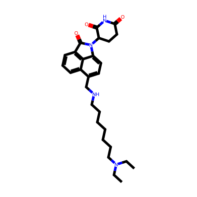 CCN(CC)CCCCCCCNCc1ccc2c3c(cccc13)C(=O)N2C1CCC(=O)NC1=O